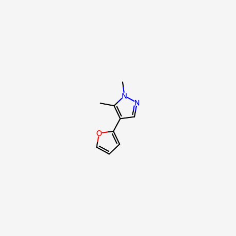 Cc1c(-c2ccco2)cnn1C